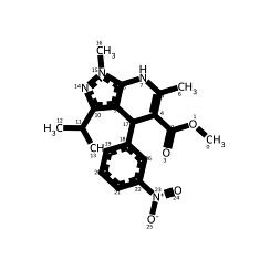 COC(=O)C1=C(C)Nc2c(c(C(C)C)nn2C)C1c1cccc([N+](=O)[O-])c1